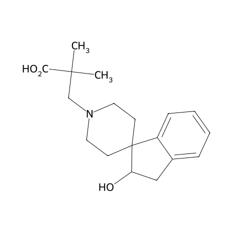 CC(C)(CN1CCC2(CC1)c1ccccc1CC2O)C(=O)O